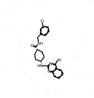 CC(C)c1nc(N[C@H]2CC[C@@H](C(=O)NCc3cccc(Cl)c3)CC2)nc2ccccc12